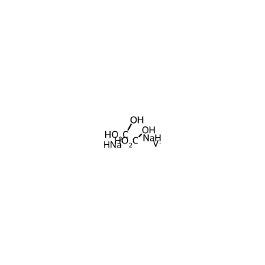 O=C(O)O.O=C(O)O.[NaH].[NaH].[V]